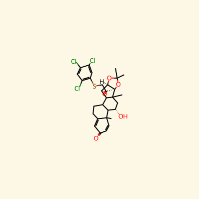 CC1(C)O[C@@H]2CC3C4CCC5=CC(=O)C=CC5(C)C4[C@@H](O)CC3(C)[C@]2(C(=O)CSc2cc(Cl)c(Cl)cc2Cl)O1